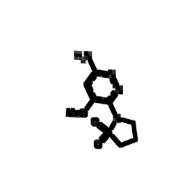 COc1cc(N)nnc1N1CCCS1(=O)=O